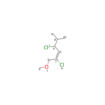 COC/C(Cl)=C\C(Cl)C(C)C